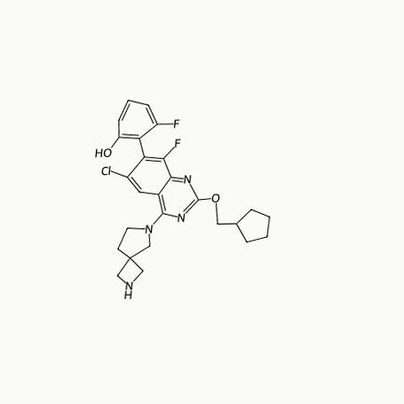 Oc1cccc(F)c1-c1c(Cl)cc2c(N3CCC4(CNC4)C3)nc(OCC3CCCC3)nc2c1F